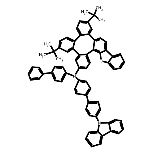 CC(C)(C)c1ccc2c(c1)-c1cc(N(c3ccc(-c4ccccc4)cc3)c3ccc(-c4ccc(-n5c6ccccc6c6ccccc65)cc4)cc3)ccc1-c1c(ccc3c1oc1ccccc13)-c1cc(C(C)(C)C)ccc1-2